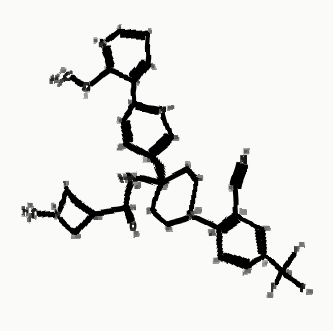 COc1ncccc1-c1ccc(C2(NC(=O)C3CN(C)C3)CCN(c3ccc(C(F)(F)F)cc3C#N)CC2)cn1